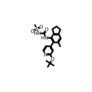 Cc1cc2c(c(NC(=O)NS(C)(=O)=O)c1-c1ccnc(OC(C)(C)C)c1)CCC2